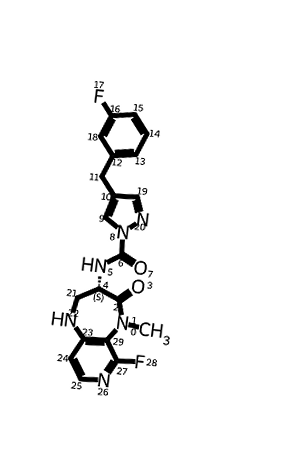 CN1C(=O)[C@@H](NC(=O)n2cc(Cc3cccc(F)c3)cn2)CNc2ccnc(F)c21